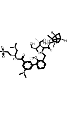 CCOc1c(CN2O[C@@H](CO)[C@@H]([C@H](C)O)C2C(=O)N[C@H]2C[C@H]3C[C@@H]([C@@H]2C)C3(C)C)cccc1-c1cc(C(=O)N[C@@H](CCS(C)(=O)=O)CN(C)C)cc(N(C)C)c1